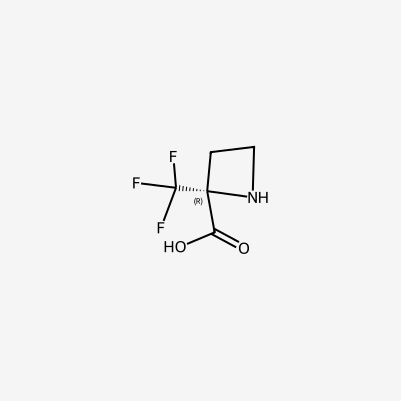 O=C(O)[C@@]1(C(F)(F)F)CCN1